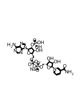 NC(=O)c1ccc[n+]([C@H]2O[C@H](COP(=O)([O-])OP(=O)([O-])OC[C@H]3O[C@@H](n4cnc5c(N)ncnc54)[C@H](OP(=O)(O)O)[C@@H]3O)[C@@H](O)[C@H]2O)c1.[Na+]